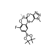 Cc1nnn(C)c1CN1C(=O)[C@@H](C)Oc2c(F)cc(B3OC(C)(C)C(C)(C)O3)cc21